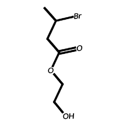 CC(Br)CC(=O)OCCO